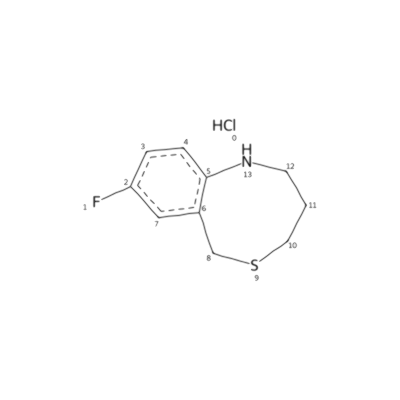 Cl.Fc1ccc2c(c1)CSCCCN2